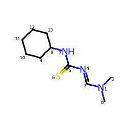 CN(C)C=NC(=S)NC1CCCCC1